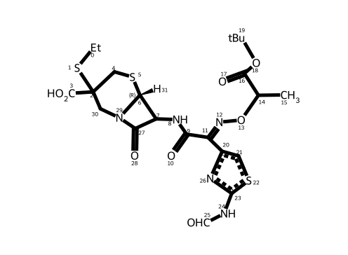 CCSC1(C(=O)O)CS[C@@H]2C(NC(=O)C(=NOC(C)C(=O)OC(C)(C)C)c3csc(NC=O)n3)C(=O)N2C1